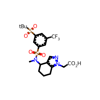 CN(C1CCCc2c1cnn2CC(=O)O)S(=O)(=O)c1cc(C(F)(F)F)cc(S(=O)(=O)C(C)(C)C)c1